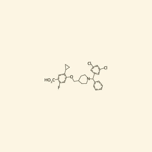 O=C(O)c1cc(C2CC2)c(OCC2CCN(C(c3ccccc3)c3cc(Cl)cc(Cl)c3)CC2)cc1F